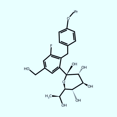 CC(C)Oc1ccc(Cc2c(F)cc(CO)cc2[C@@]2(O)O[C@H]([C@H](C)O)[C@@H](O)[C@H](O)[C@H]2O)cc1